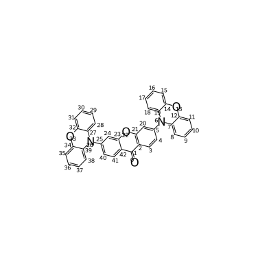 O=c1c2ccc(N3c4ccccc4Oc4ccccc43)cc2oc2cc(N3c4ccccc4Oc4ccccc43)ccc12